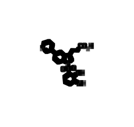 N=C1C=CC=C(S(=O)(=O)n2cc(CCC(=O)O)c3cc(-c4cccnc4)ccc32)C1=N